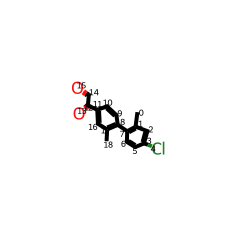 Cc1cc(Cl)ccc1-c1ccc(C(=O)C=O)cc1C